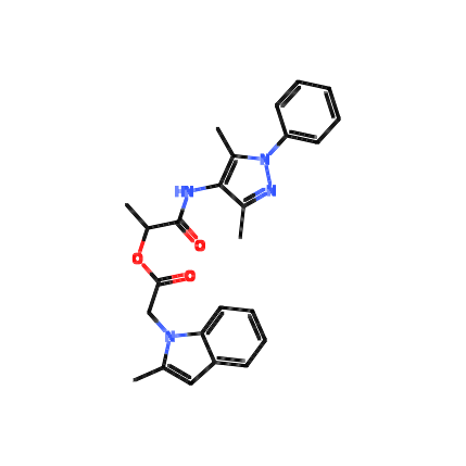 Cc1nn(-c2ccccc2)c(C)c1NC(=O)C(C)OC(=O)Cn1c(C)cc2ccccc21